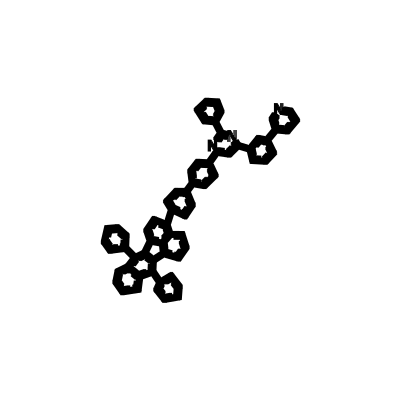 c1ccc(-c2nc(-c3ccc(-c4ccc(-c5ccc6c7c(cccc57)-c5c-6c(-c6ccccc6)c6ccccc6c5-c5ccccc5)cc4)cc3)cc(-c3cccc(-c4cccnc4)c3)n2)cc1